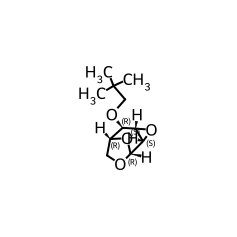 CC(C)(C)CO[C@H]1[C@@H]2O[C@@H]2[C@@H]2OC[C@H]1O2